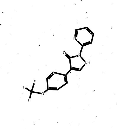 O=c1c(-c2ccc(OC(F)(F)F)cc2)c[nH]n1-c1ccccn1